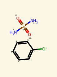 Clc1ccccc1.NS(N)(=O)=O